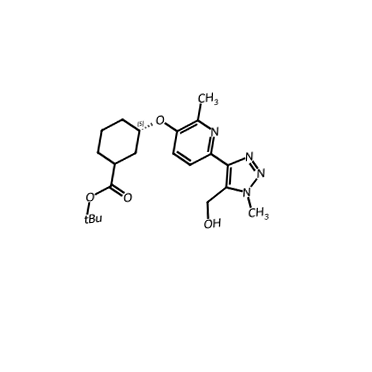 Cc1nc(-c2nnn(C)c2CO)ccc1O[C@H]1CCCC(C(=O)OC(C)(C)C)C1